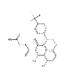 O=C(O)CNC(=O)c1c(O)c2c(Br)ccc3c2n(c1=O)C(c1ccc(C(F)(F)F)cc1)CO3